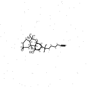 C#CCCCCC(C)(C)c1cc(O)c2c(c1)OC(C)(C)[C@@H]1CCC(=O)C[C@@H]21